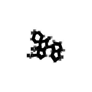 Cc1csc(N(C(=O)C2(CN)CCNCC2)c2ncnc3[nH]ccc23)n1